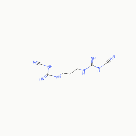 N#CNC(=N)NCCCNC(=N)NC#N